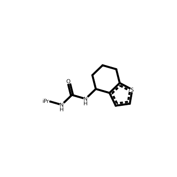 CC(C)NC(=O)NC1CCCc2sccc21